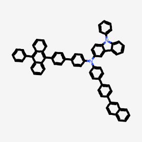 c1ccc(-c2c3ccccc3c(-c3ccc(-c4ccc(N(c5ccc(-c6ccc(-c7ccc8ccccc8c7)cc6)cc5)c5ccc6c(c5)c5ccccc5n6-c5ccccc5)cc4)cc3)c3ccccc23)cc1